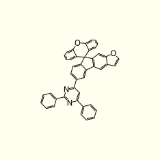 c1ccc(-c2cc(-c3ccc4c(c3)-c3cc5ccoc5cc3C43c4ccccc4Oc4ccccc43)nc(-c3ccccc3)n2)cc1